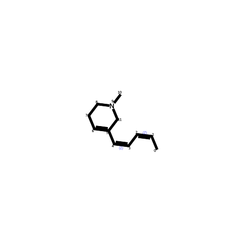 C/C=C\C=C/C1=CCCN(C)C1